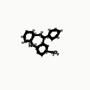 O=[N+]([O-])c1ccc2c(c1)C(c1ccccc1)=Nc1cccnc1N2